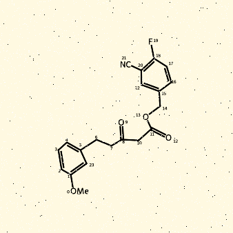 COc1cccc(CCC(=O)CC(=O)OCc2ccc(F)c(C#N)c2)c1